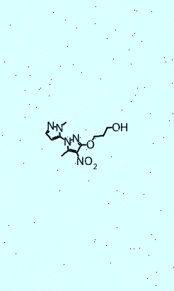 Cc1c([N+](=O)[O-])c(OCCCO)nn1-c1ccnn1C